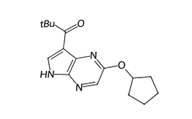 CC(C)(C)C(=O)c1c[nH]c2ncc(OC3CCCC3)nc12